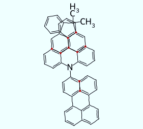 CC1(C)c2ccccc2-c2c(-c3ccccc3N(c3ccc(-c4cccc5cccc(-c6ccccc6)c45)cc3)c3ccccc3-c3cccc4ccccc34)cccc21